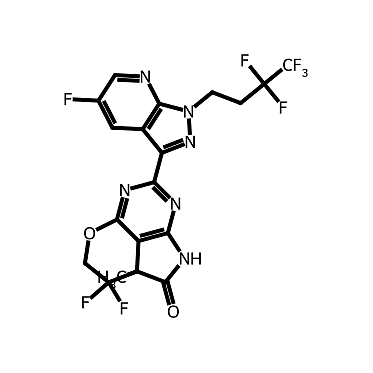 CC12C(=O)Nc3nc(-c4nn(CCC(F)(F)C(F)(F)F)c5ncc(F)cc45)nc(c31)OCC2(F)F